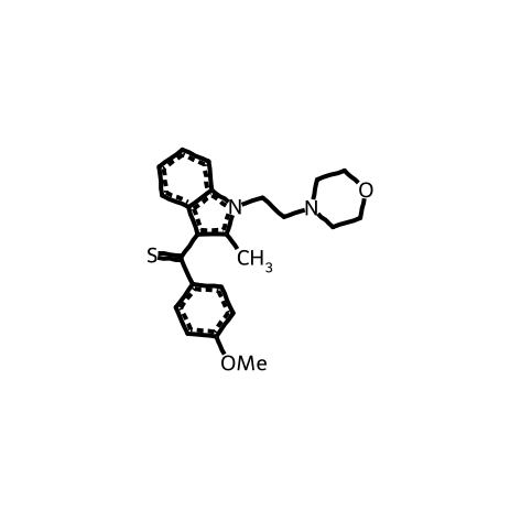 COc1ccc(C(=S)c2c(C)n(CCN3CCOCC3)c3ccccc23)cc1